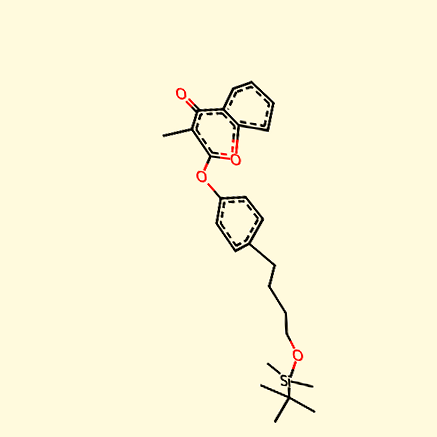 Cc1c(Oc2ccc(CCCCO[Si](C)(C)C(C)(C)C)cc2)oc2ccccc2c1=O